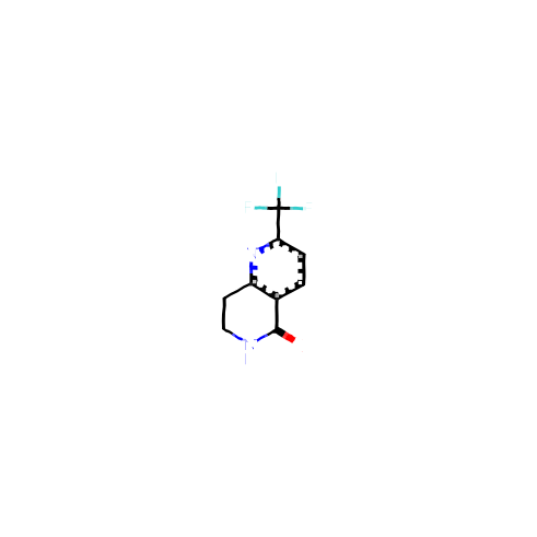 O=C1NCCc2nc(C(F)(F)F)ccc21